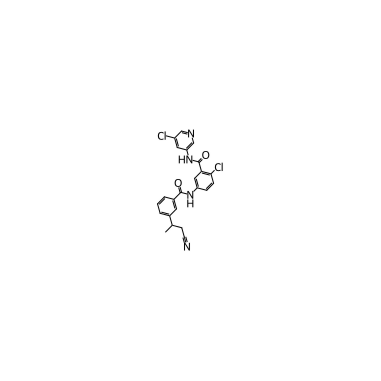 CC(CC#N)c1cccc(C(=O)Nc2ccc(Cl)c(C(=O)Nc3cncc(Cl)c3)c2)c1